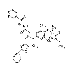 CCOC(=O)C(C)(C)Oc1c(C)cc(CN(CC(=O)NNC(=O)c2cccnc2)Cc2nc(-c3ccccc3)oc2C)cc1C